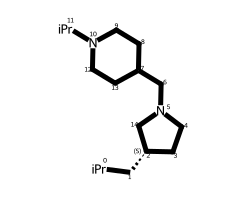 CC(C)C[C@H]1CCN(CC2CCN(C(C)C)CC2)C1